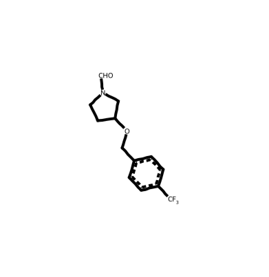 O=CN1CCC(OCc2ccc(C(F)(F)F)cc2)C1